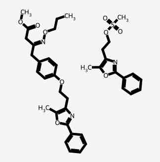 CCCON=C(CC(=O)OC)Cc1ccc(OCCc2nc(-c3ccccc3)oc2C)cc1.Cc1oc(-c2ccccc2)nc1CCOS(C)(=O)=O